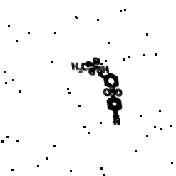 C=CS(=O)(=O)NC[C@H]1CCCN(S(=O)(=O)c2ccc(C#N)cc2)C1